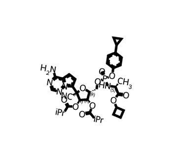 CC(C)C(=O)O[C@H]1[C@@H](OC(=O)C(C)C)[C@](C#N)(c2ccc3c(N)ncnn23)O[C@@H]1COP(=O)(N[C@@H](C)C(=O)OC1CCC1)Oc1ccc(C2CC2)cc1